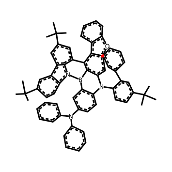 CC(C)(C)c1ccc(N2c3ccc(N(c4ccccc4)c4ccccc4)cc3B3c4c2cc2oc5ccccc5c2c4-c2cc(C(C)(C)C)cc4c5cc(C(C)(C)C)ccc5n3c24)c(-c2ccccc2)c1